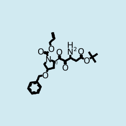 C=CCOC(=O)N1CC(OCc2ccccc2)C[C@@H]1C(=O)C(=O)C(N)CC(=O)OC(C)(C)C